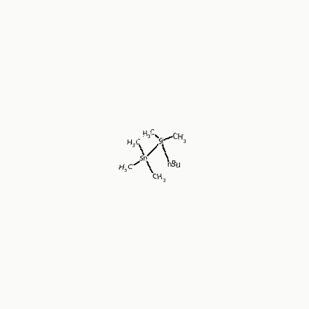 CCCC[Si](C)(C)[Sn]([CH3])([CH3])[CH3]